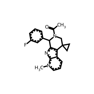 CC(=O)N1CC2(CC2)c2c3cccn(C)c-3nc2C1c1cccc(F)c1